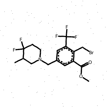 COC(=O)c1cc(CN2CCC(F)(F)C(C)C2)cc(C(F)(F)F)c1CBr